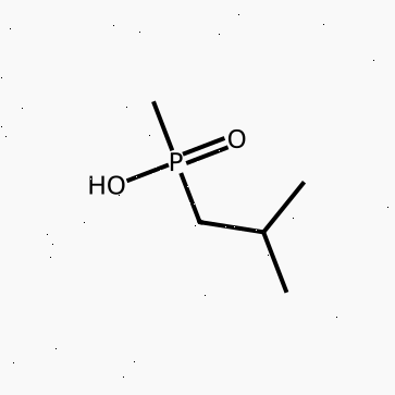 CC(C)CP(C)(=O)O